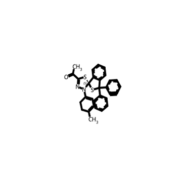 CC(=O)C1=NN(C2=CC=C(C)CC2)[C@]2(S1)SC(c1c#cccc1)(c1ccccc1)c1ccccc12